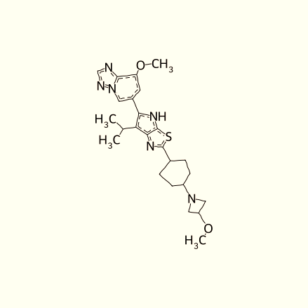 COc1cc(-c2[nH]c3sc(C4CCC(N5CC(OC)C5)CC4)nc3c2C(C)C)cn2ncnc12